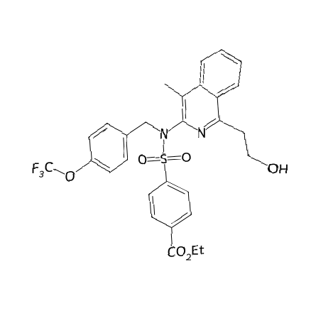 CCOC(=O)c1ccc(S(=O)(=O)N(Cc2ccc(OC(F)(F)F)cc2)c2nc(CCO)c3ccccc3c2C)cc1